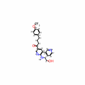 CN(CCO)c1ncc(C(=O)CCCc2ccc(OC(F)(F)F)cc2)cc1-c1cccnc1